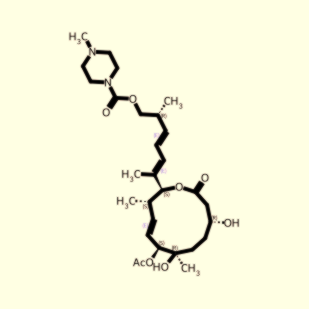 CC(=O)O[C@H]1/C=C/[C@H](C)[C@@H](/C(C)=C/C=C/[C@@H](C)COC(=O)N2CCN(C)CC2)OC(=O)C[C@H](O)CC[C@@]1(C)O